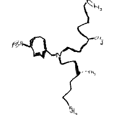 CCCC[C@@H](C)CCN(CC[C@H](C)CCCC)c1ccc(N)cc1